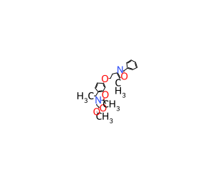 COC(=O)CN(C(C)=O)C(C)c1ccc(OCCc2nc(-c3ccccc3)oc2C)cc1